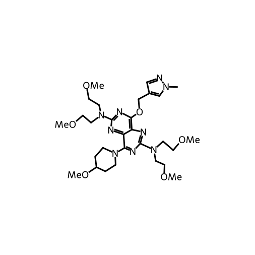 COCCN(CCOC)c1nc(N2CCC(OC)CC2)c2nc(N(CCOC)CCOC)nc(OCc3cnn(C)c3)c2n1